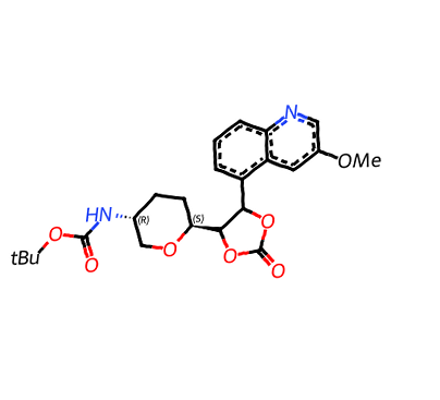 COc1cnc2cccc(C3OC(=O)OC3[C@@H]3CC[C@@H](NC(=O)OC(C)(C)C)CO3)c2c1